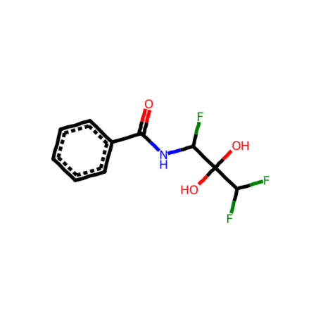 O=C(NC(F)C(O)(O)C(F)F)c1ccccc1